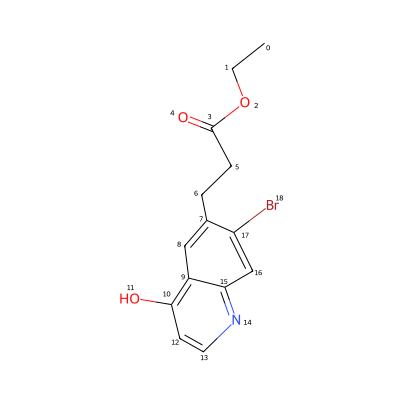 CCOC(=O)CCc1cc2c(O)ccnc2cc1Br